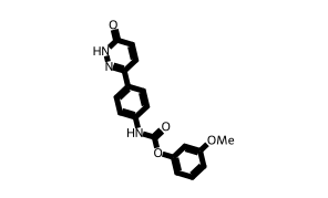 COc1cccc(OC(=O)Nc2ccc(-c3ccc(=O)[nH]n3)cc2)c1